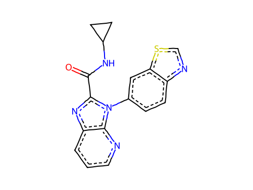 O=C(NC1CC1)c1nc2cccnc2n1-c1ccc2ncsc2c1